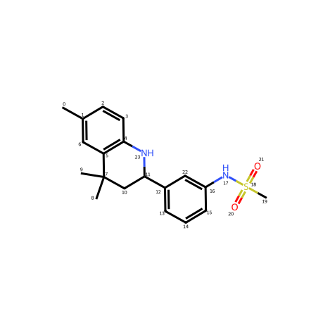 Cc1ccc2c(c1)C(C)(C)CC(c1cccc(NS(C)(=O)=O)c1)N2